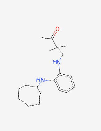 CC(=O)C(C)(C)CNc1ccccc1NC1CCCCCC1